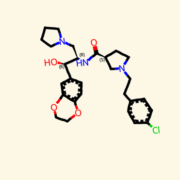 O=C(N[C@H](CN1CCCC1)[C@H](O)c1ccc2c(c1)OCCO2)[C@H]1CCN(CCc2ccc(Cl)cc2)C1